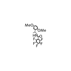 COc1ccc(OC)c(C(C)CNC(=O)c2c(F)c(F)c(F)c(F)c2F)c1